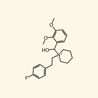 COc1cccc(C(O)[N+]2(CCc3ccc(F)cc3)CCCCC2)c1OC